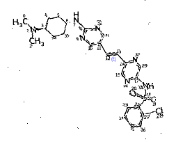 CN(C)[C@H]1CC[C@H](Nc2ncc(/C=C/c3cnc(NS(=O)(=O)c4ccccc4Cl)cn3)cn2)CC1